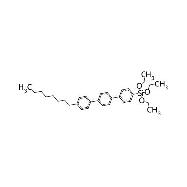 CCCCCCCCc1ccc(-c2ccc(-c3ccc([Si](OCC)(OCC)OCC)cc3)cc2)cc1